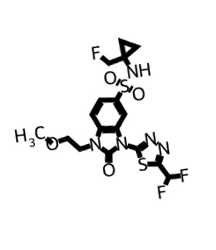 COCCn1c(=O)n(-c2nnc(C(F)F)s2)c2cc(S(=O)(=O)NC3(CF)CC3)ccc21